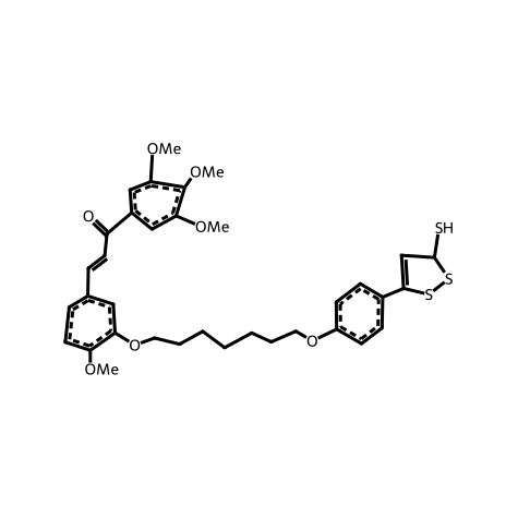 COc1ccc(/C=C/C(=O)c2cc(OC)c(OC)c(OC)c2)cc1OCCCCCCCOc1ccc(C2=CC(S)SS2)cc1